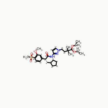 COc1cc([C@@H](CC2CCCC2)C(=O)Nc2ccn(CCC(C)(C)C(O[SiH2]C)O[SiH2]C)n2)ccc1S(C)(=O)=O